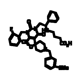 CSc1cccc(CN2CCC3(CC2)OCc2c3c(=O)n(C[C@H](NCCCC(=O)O)c3ccccc3)c(=O)n2Cc2c(F)cccc2C(F)(F)F)c1